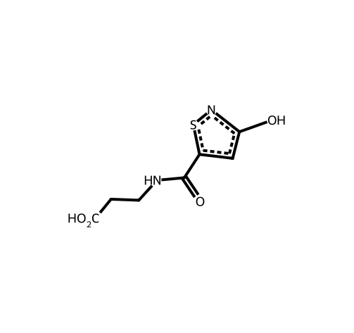 O=C(O)CCNC(=O)c1cc(O)ns1